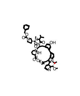 CCn1c(-c2cccnc2[C@H](C)OC)c2c3cc(ccc31)-c1cc(O)cc(c1)C[C@H](NC(=O)C(C(C)C)N(C)C(=O)[C@H]1CCN(C(=O)OCc3ccccc3)C1)C(=O)N1CCC[C@H](N1)C(=O)OCC(C)(C)C2